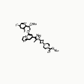 COC(COc1cc(-c2nnn(C3CC(N4CCN(C(=O)OC(C)(C)C)CC4)C3)c2C)cc2nccn12)c1ncc(F)cc1F